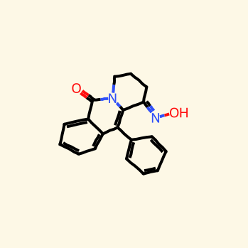 O=c1c2ccccc2c(-c2ccccc2)c2n1CCC/C2=N\O